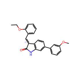 CCOc1ccccc1/C=C1/C(=O)Nc2cc(-c3cccc(OC)c3)ccc21